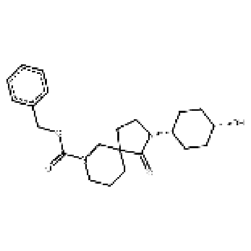 O=C(OCc1ccccc1)N1CCCC2(CCN([C@H]3CC[C@@H](O)CC3)C2=O)C1